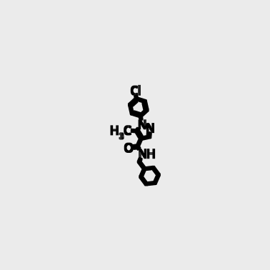 Cc1c(C(=O)NCC2CCCCC2)cnn1-c1ccc(Cl)cc1